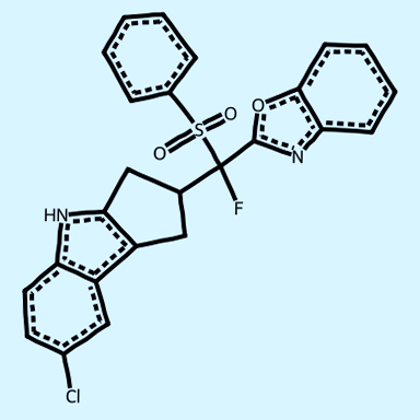 O=S(=O)(c1ccccc1)C(F)(c1nc2ccccc2o1)C1Cc2[nH]c3ccc(Cl)cc3c2C1